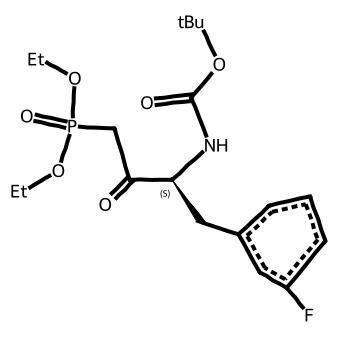 CCOP(=O)(CC(=O)[C@H](Cc1cccc(F)c1)NC(=O)OC(C)(C)C)OCC